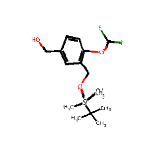 CC(C)(C)[Si](C)(C)OCc1cc(CO)ccc1OC(F)F